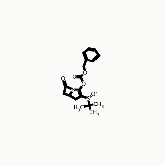 CC(C)(C)[S+]([O-])C1=C(OC(=O)OCc2ccccc2)N2C(=O)CC2C1